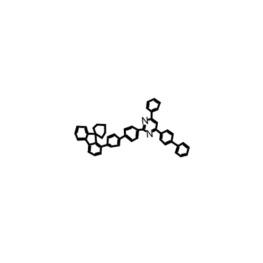 c1ccc(-c2ccc(-c3cc(-c4ccccc4)nc(-c4ccc(-c5ccc(-c6cccc7c6C6(CCCCC6)c6ccccc6-7)cc5)cc4)n3)cc2)cc1